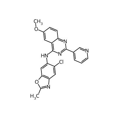 COc1ccc2nc(-c3cccnc3)nc(Nc3cc4oc(C)nc4cc3Cl)c2c1